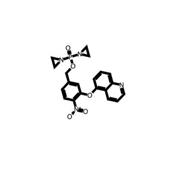 O=[N+]([O-])c1ccc(COP(=O)(N2CC2)N2CC2)cc1Oc1cccc2ncccc12